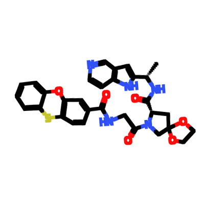 C[C@H](NC(=O)[C@@H]1CC2(CN1C(=O)CNC(=O)c1ccc3c(c1)Oc1ccccc1S3)OCCO2)c1cc2cnccc2[nH]1